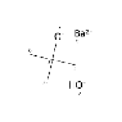 CC(C)(C)[O-].[Ba+2].[OH-]